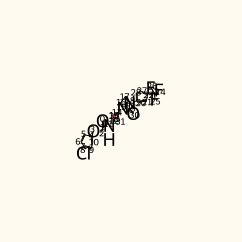 O=C(COc1ccc(Cl)cc1)NC12CC(N3CCN(c4ccc(C(F)(F)F)cc4)C3=O)(C1)C2